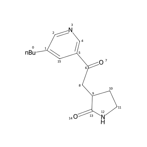 CCCCc1cncc(C(=O)CC2CCNC2=O)c1